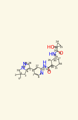 CC1(C)Cc2c(-c3ccnc(NC(=O)[C@@H]4CCC[C@@H](NC(=O)C5(O)CC5)C4)c3)cnn2C1